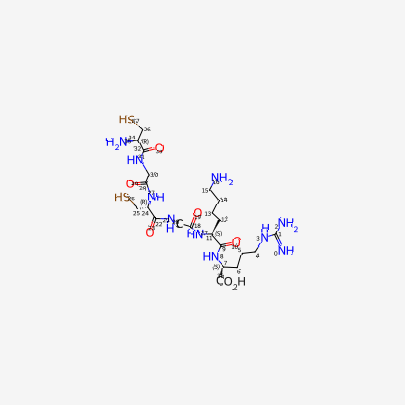 N=C(N)NCCC[C@H](NC(=O)[C@H](CCCCN)NC(=O)CNC(=O)[C@H](CS)NC(=O)CNC(=O)[C@@H](N)CS)C(=O)O